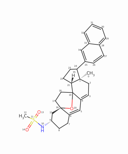 C[C@]12CC=C3C=C4CC[C@H](NS(C)(=O)=O)C[C@]45CCC3(O5)[C@@H]1CCC2c1ccc2ccccc2c1